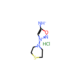 Cl.[NH-]c1c[n+](N2CCSCC2)no1